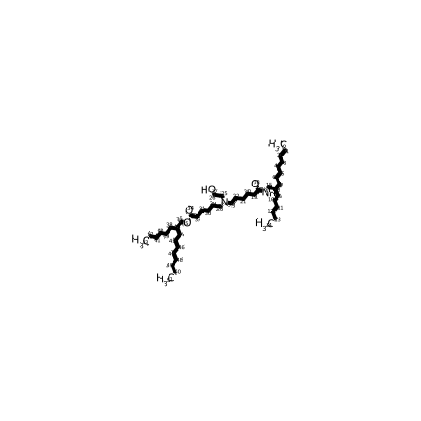 CCCCCCCCC(CCCCCC)CNC(=O)CCCCCN(CCO)CCCCCC(=O)OCC(CCCCCC)CCCCCCCC